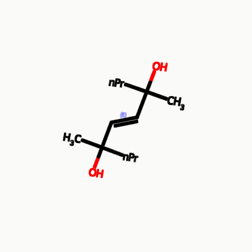 CCCC(C)(O)/C=C/C(C)(O)CCC